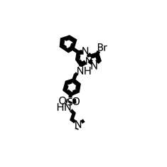 CN(C)CCNS(=O)(=O)c1ccc(CNc2cc(-c3ccccc3)nc3c(Br)cnn23)cc1